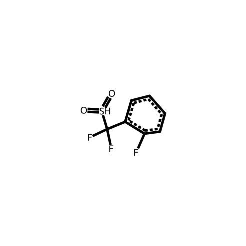 O=[SH](=O)C(F)(F)c1ccccc1F